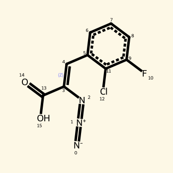 [N-]=[N+]=N/C(=C\c1cccc(F)c1Cl)C(=O)O